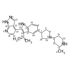 CC1CC(N2CCC(c3ccc4[nH]c(-c5ccnc6[nH]ncc56)c(C(C)C)c4c3)CC2)CCN1